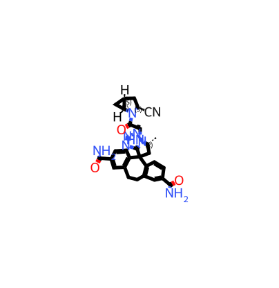 C[C@H](CC1(c2nnn(C)n2)c2ccc(C(N)=O)cc2CCc2cc(C(N)=O)ccc21)NCC(=O)N1[C@H](C#N)C[C@@H]2C[C@@H]21